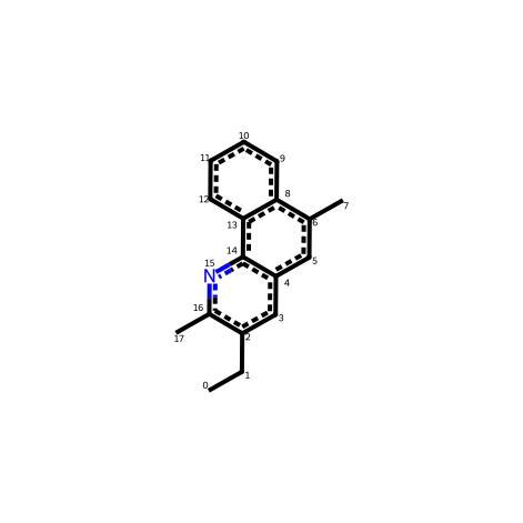 CCc1cc2cc(C)c3ccccc3c2nc1C